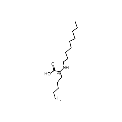 CCCCCCCCCN[C@@H](CCCCN)C(=O)O